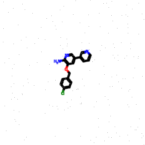 Nc1ncc(-c2cccnc2)cc1OCc1ccc(Cl)cc1